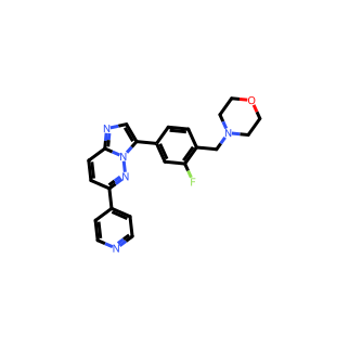 Fc1cc(-c2cnc3ccc(-c4ccncc4)nn23)ccc1CN1CCOCC1